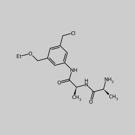 CCOCc1cc(CCl)cc(NC(=O)[C@H](C)NC(=O)[C@H](C)N)c1